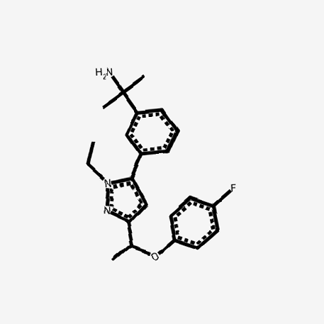 CCn1nc(C(C)Oc2ccc(F)cc2)cc1-c1cccc(C(C)(C)N)c1